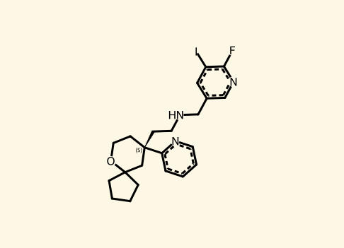 Fc1ncc(CNCC[C@]2(c3ccccn3)CCOC3(CCCC3)C2)cc1I